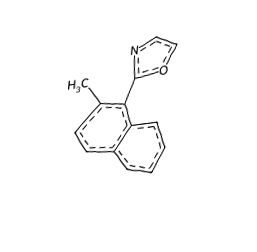 Cc1ccc2ccccc2c1-c1ncco1